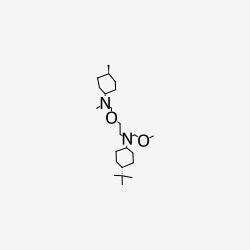 COCN(CCOCN(C)[C@H]1CC[C@H](C)CC1)[C@H]1CC[C@@H](C(C)(C)C)CC1